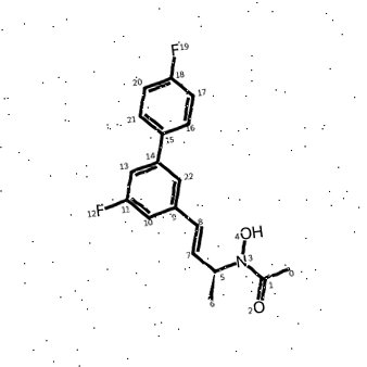 CC(=O)N(O)[C@@H](C)/C=C/c1cc(F)cc(-c2ccc(F)cc2)c1